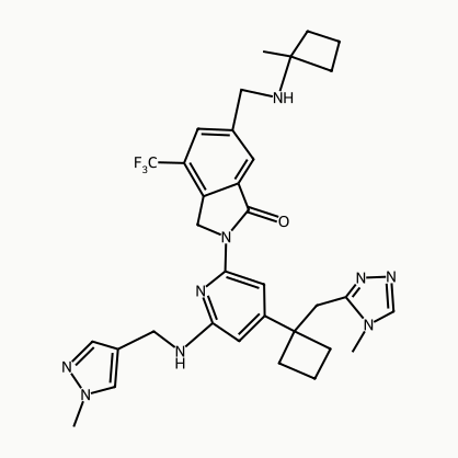 Cn1cc(CNc2cc(C3(Cc4nncn4C)CCC3)cc(N3Cc4c(cc(CNC5(C)CCC5)cc4C(F)(F)F)C3=O)n2)cn1